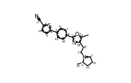 Cc1oc(-c2ccc(-c3ccc(C#N)s3)cc2)nc1CCN1CCC[C@H]1C